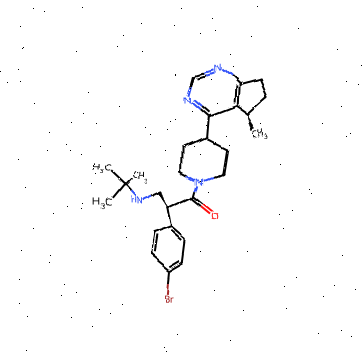 C[C@@H]1CCc2ncnc(C3CCN(C(=O)[C@H](CNC(C)(C)C)c4ccc(Br)cc4)CC3)c21